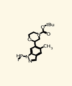 Cc1cc2cnn(PI)c2cc1C1CN(C(=O)OC(C)(C)C)CCO1